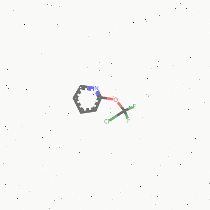 FC(F)(Cl)Oc1ccccn1